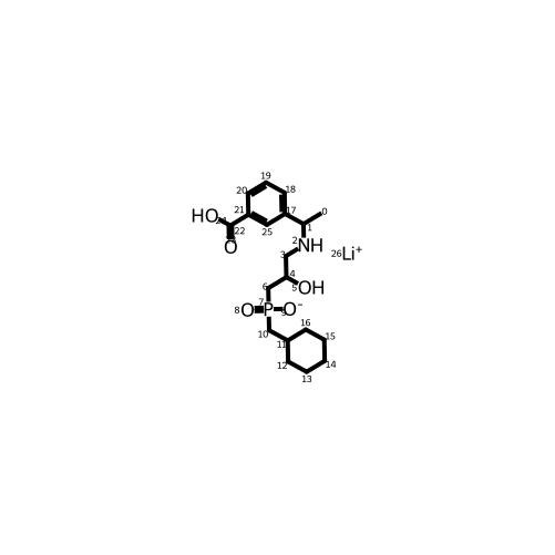 CC(NCC(O)CP(=O)([O-])CC1CCCCC1)c1cccc(C(=O)O)c1.[Li+]